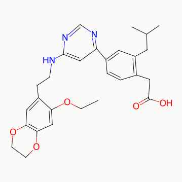 CCOc1cc2c(cc1CCNc1cc(-c3ccc(CC(=O)O)c(CC(C)C)c3)ncn1)OCCO2